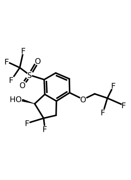 O=S(=O)(c1ccc(OCC(F)(F)F)c2c1[C@H](O)C(F)(F)C2)C(F)(F)F